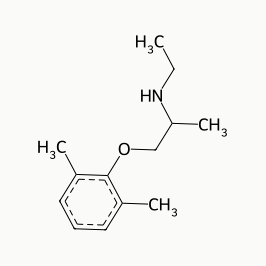 CCNC(C)COc1c(C)cccc1C